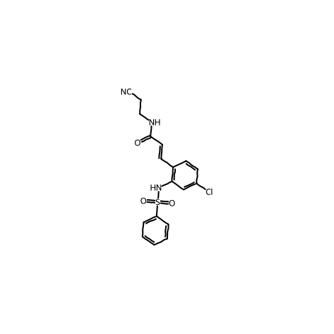 N#CCCNC(=O)/C=C/c1ccc(Cl)cc1NS(=O)(=O)c1ccccc1